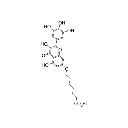 CCOC(=O)CCCCCCOc1cc(O)c2c(=O)c(O)c(-c3cc(O)c(O)c(O)c3)oc2c1